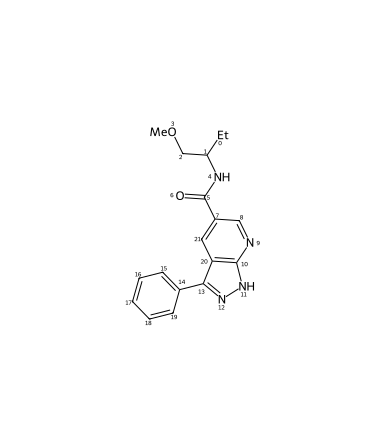 CCC(COC)NC(=O)c1cnc2[nH]nc(-c3ccccc3)c2c1